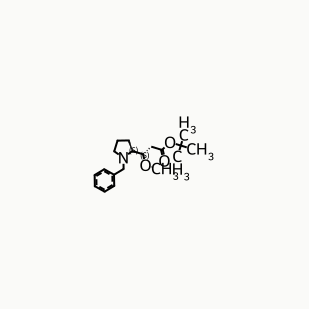 CO[C@@H](CC(=O)OC(C)(C)C)[C@@H]1CCCN1Cc1ccccc1